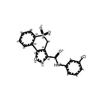 O=C(Nc1cccc(Cl)c1)c1noc2c1CS(=O)(=O)c1ccccc1-2